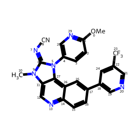 COc1ccc(-n2c(=NC#N)n(C)c3cnc4ccc(-c5cncc(C(F)(F)F)c5)cc4c32)cn1